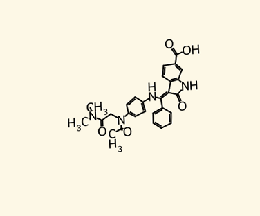 CC(=O)N(CC(=O)N(C)C)c1ccc(NC(=C2C(=O)Nc3cc(C(=O)O)ccc32)c2ccccc2)cc1